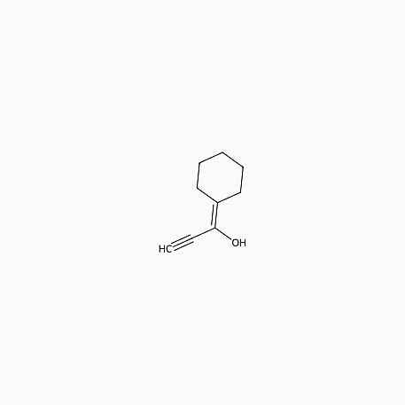 C#CC(O)=C1CCCCC1